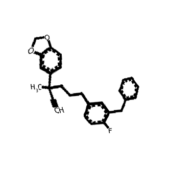 C#CC(C)(CCCc1ccc(F)c(Cc2ccccc2)c1)c1ccc2c(c1)OCO2